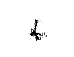 C=C(/C=C\C=C/C)[C@@H](CN1CC(OC2CCCCO2)C[C@H]1CNCCOCCOCCOC)N(C)C(=O)Cc1ccc(Cl)c(Cl)c1